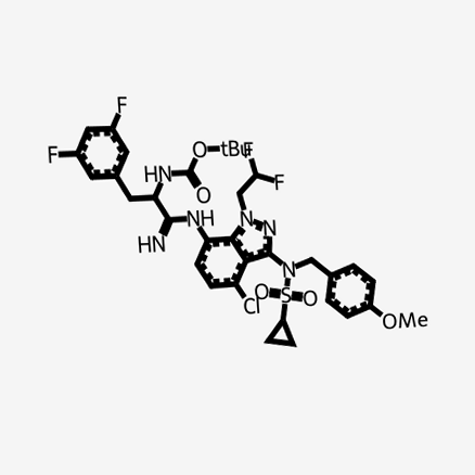 COc1ccc(CN(c2nn(CC(F)F)c3c(NC(=N)C(Cc4cc(F)cc(F)c4)NC(=O)OC(C)(C)C)ccc(Cl)c23)S(=O)(=O)C2CC2)cc1